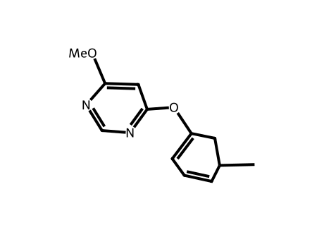 COc1cc(OC2=CC=CC(C)C2)ncn1